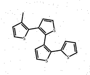 Cc1ccsc1-c1ccsc1-c1ccsc1-c1cccs1